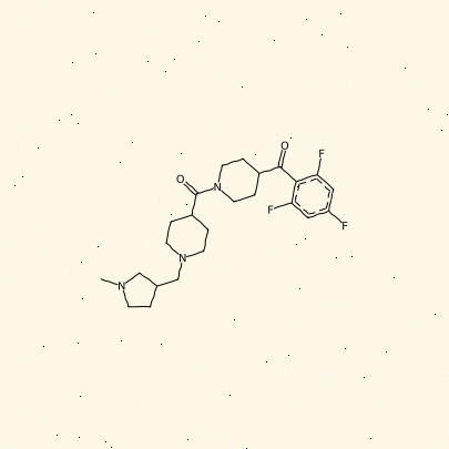 CN1CCC(CN2CCC(C(=O)N3CCC(C(=O)c4c(F)cc(F)cc4F)CC3)CC2)C1